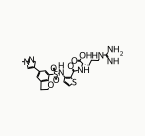 Cn1cc(-c2cc3c(c(S(=O)(=O)Nc4ccsc4C(=O)N[C@@H](CCCNC(=N)N)C(=O)O)c2)OCC3)cn1